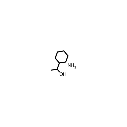 CC(O)C1CCCCC1.N